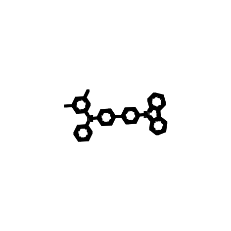 Cc1cc(C)cc(N(c2ccccc2)c2ccc(-c3ccc(-n4c5ccccc5c5ccccc54)cc3)cc2)c1